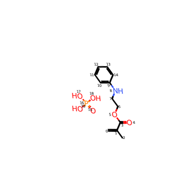 C=C(C)C(=O)OCCNc1ccccc1.O=P(O)(O)O